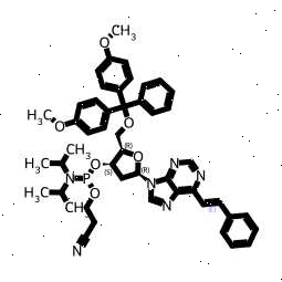 COc1ccc(C(OC[C@H]2O[C@@H](n3cnc4c(/C=C/c5ccccc5)ncnc43)C[C@@H]2OP(OCCC#N)N(C(C)C)C(C)C)(c2ccccc2)c2ccc(OC)cc2)cc1